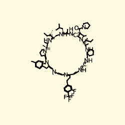 CC[C@H](C)[C@H]1C(C)NC2(CCCC2)CNCCNC=CC(CCc2ccc(C(F)(F)F)c(F)c2)=NC=CN(C)C=C(Cc2ccc(C)cc2)N(C)C=C2CCCN2[C@@H](C)C(C)N[C@@H]([C@@H](C)CC)CN[C@@H](CC(C)C)C(C)NCC2[C@@H](C(=O)N3CCCC3)C(C)N21